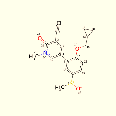 C#Cc1cc(-c2cc([S+](C)[O-])ccc2OCC2CC2)cn(C)c1=O